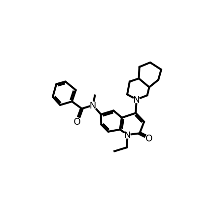 CCn1c(=O)cc(N2CCC3CCCCC3C2)c2cc(N(C)C(=O)c3ccccc3)ccc21